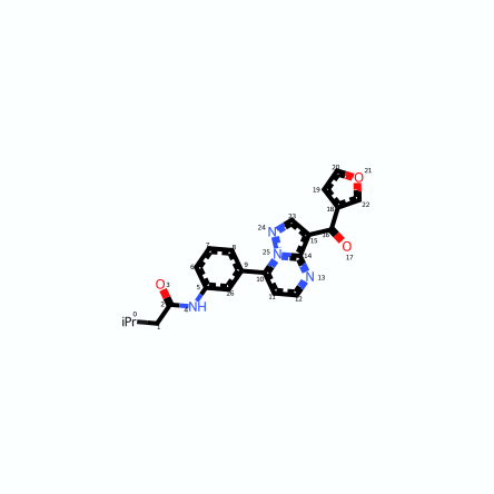 CC(C)CC(=O)Nc1cccc(-c2ccnc3c(C(=O)c4ccoc4)cnn23)c1